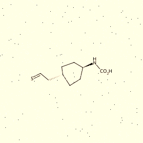 O=C(O)N[C@H]1CC[C@H](CC=S)CC1